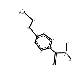 BCCc1ccc(C(=C)N(C)C)cc1